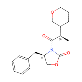 C[C@@H](C(=O)N1C(=O)OC[C@H]1Cc1ccccc1)C1CCCOC1